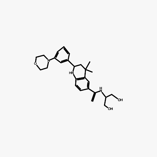 C=C(NC(CO)CO)c1ccc2c(c1)C(C)(C)CC(c1cccc(N3CCOCC3)c1)N2